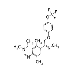 CCN(C)/C=N\c1cc(C)c(/C(COc2ccc(OC(F)(F)F)cc2)=N/C)cc1C